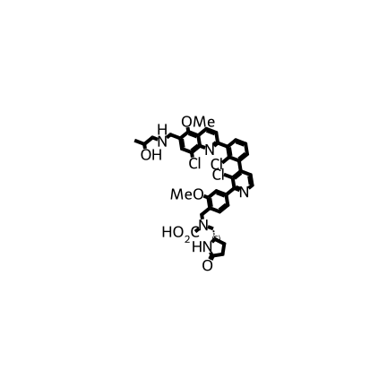 COc1cc(-c2nccc(-c3cccc(-c4ccc5c(OC)c(CNCC(C)O)cc(Cl)c5n4)c3Cl)c2Cl)ccc1CN(C[C@@H]1CCC(=O)N1)C(=O)O